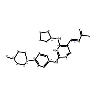 CC(=O)/C=C/c1cnc(Nc2ccc(N3CCN(C)CC3)cc2)nc1NC1CCCC1